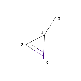 CC1C=I1